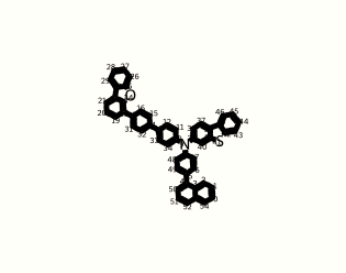 c1ccc2c(-c3ccc(N(c4ccc(-c5ccc(-c6cccc7c6oc6ccccc67)cc5)cc4)c4ccc5c(c4)sc4ccccc45)cc3)cccc2c1